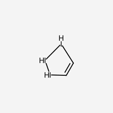 C1=C[IH][IH][IH]1